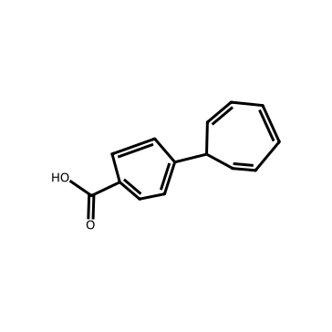 O=C(O)c1ccc(C2C=CC=CC=C2)cc1